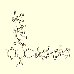 CON(c1ccccc1)c1ccccc1.O=P(O)(O)F.O=P(O)(O)F.O=P(O)(O)F.O=P(O)(O)F.O=P(O)(O)F.O=P(O)(O)F